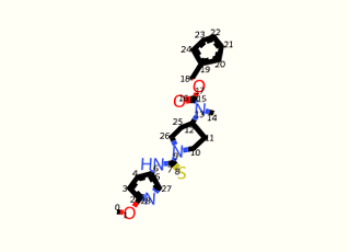 COc1ccc(NC(=S)N2CCC(N(C)C(=O)OCc3ccccc3)CC2)cn1